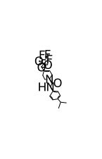 CC(C)c1ccc(NC(=O)N2CC=C(OS(=O)(=O)C(F)(F)F)CC2)cc1